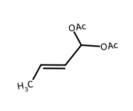 CC=CC(OC(C)=O)OC(C)=O